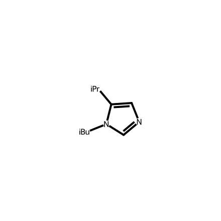 CCC(C)n1cncc1C(C)C